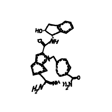 N=C(N)c1ccc2cc(C(=O)N[C@H]3c4ccccc4C[C@H]3O)n(Cc3ccc(C(N)=O)cc3)c2c1